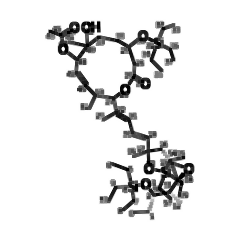 CC[C@H](O[Si](CC)(CC)CC)[C@@H](C)[C@@H]1O[C@H]1CC(C)(/C=C/C=C(\C)C1OC(=O)CC(O[Si](CC)(CC)CC)CCC(C)(O)C(OC(C)=O)C=CC1C)O[Si](CC)(CC)CC